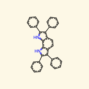 c1ccc(-c2[nH]c3c(ccc4c(-c5ccccc5)c(-c5ccccc5)[nH]c43)c2-c2ccccc2)cc1